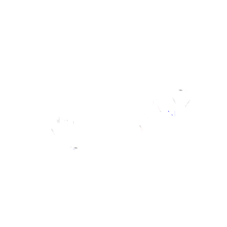 CCCCC/C=C\C/C=C\CCCCCCCC(=O)OCC(=O)Nc1ccccc1